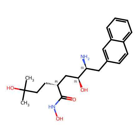 CC(C)(O)CC[C@H](C[C@H](O)[C@@H](N)Cc1ccc2ccccc2c1)C(=O)NO